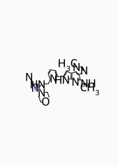 CNc1nc2[nH]c(-c3cccc(CN/C(=N\C#N)N4CCOCC4)n3)cc2c2c1ncn2C